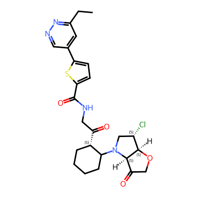 CCc1cc(-c2ccc(C(=O)NCC(=O)[C@H]3CCCCC3N3C[C@H](Cl)[C@H]4OCC(=O)[C@H]43)s2)cnn1